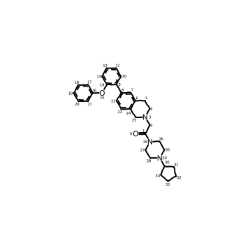 O=C(CN1CCc2cc(-c3ccccc3Oc3ccccc3)ccc2C1)N1CCN(C2CCCC2)CC1